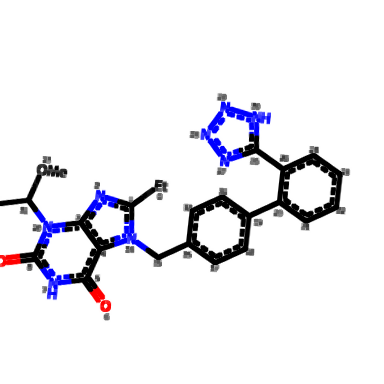 CCc1nc2c(c(=O)[nH]c(=O)n2C(C)OC)n1Cc1ccc(-c2ccccc2-c2nnn[nH]2)cc1